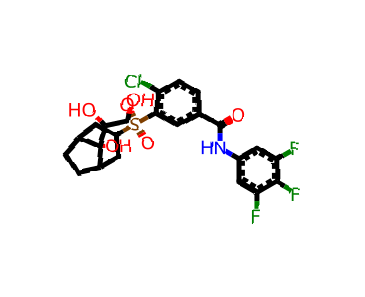 O=C(Nc1cc(F)c(F)c(F)c1)c1ccc(Cl)c(S(=O)(=O)C2CC3CCC(C2)C3(O)C(O)CO)c1